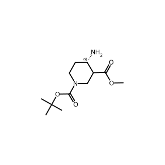 COC(=O)C1CN(C(=O)OC(C)(C)C)CC[C@@H]1N